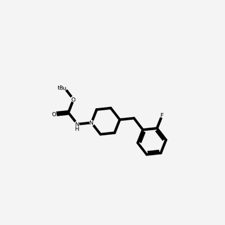 CC(C)(C)OC(=O)NN1CCC(Cc2ccccc2F)CC1